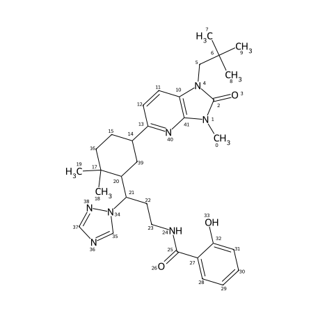 Cn1c(=O)n(CC(C)(C)C)c2ccc(C3CCC(C)(C)C(C(CCNC(=O)c4ccccc4O)n4cncn4)C3)nc21